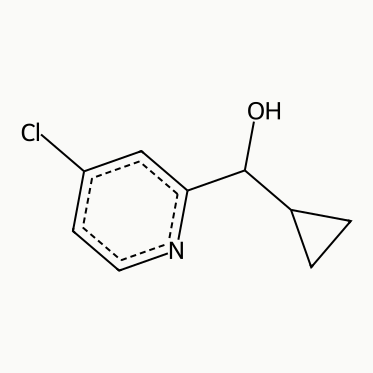 OC(c1cc(Cl)ccn1)C1CC1